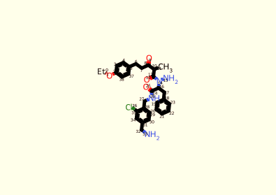 CCOc1ccc(CCC(=O)C(C)C(=O)N(N)C(Cc2ccccc2)C(=O)NCc2ccc(CN)cc2Cl)cc1